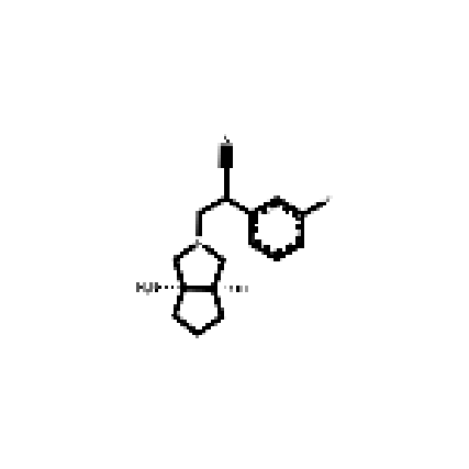 N#CC(CN1C[C@H]2CCC[C@@]2(N)C1)c1cccc(F)c1